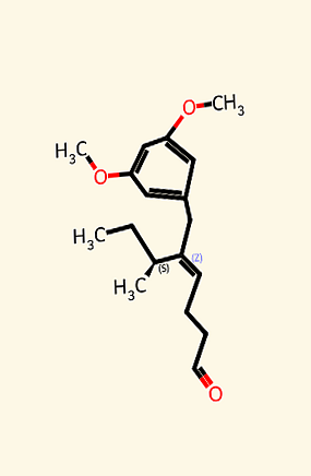 CC[C@H](C)/C(=C\CCC=O)Cc1cc(OC)cc(OC)c1